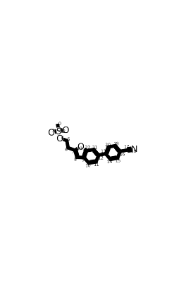 CS(=O)(=O)OCCc1cc2ccc(-c3ccc(C#N)cc3)cc2o1